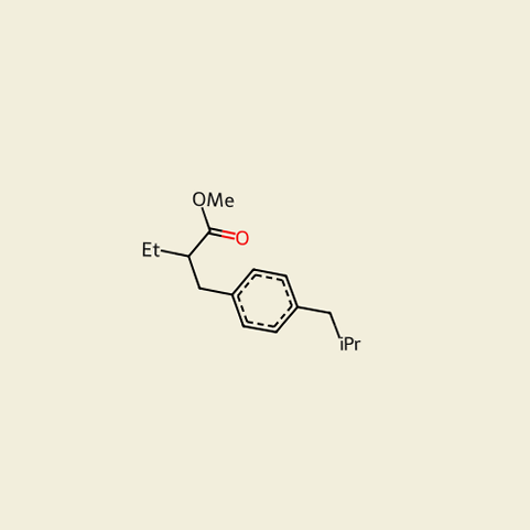 CCC(Cc1ccc(CC(C)C)cc1)C(=O)OC